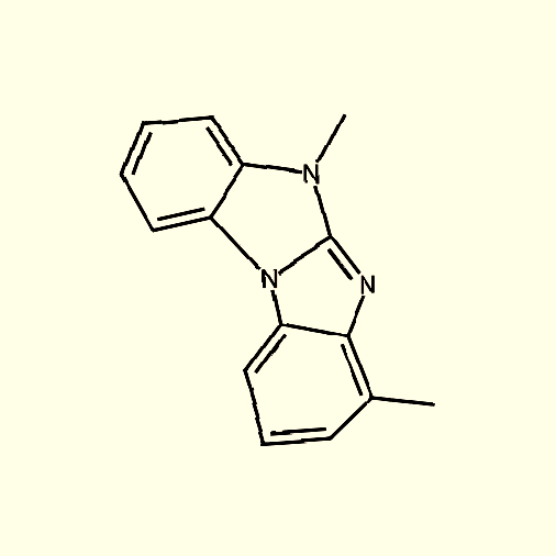 Cc1cccc2c1nc1n(C)c3ccccc3n21